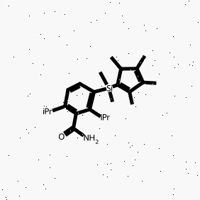 CC1=C(C)C(C)C([Si](C)(C)c2ccc(C(C)C)c(C(N)=O)c2C(C)C)=C1C